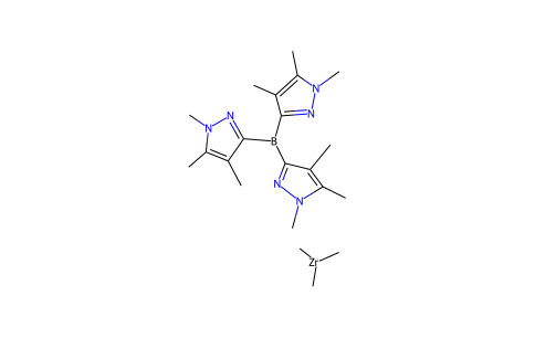 Cc1c(B(c2nn(C)c(C)c2C)c2nn(C)c(C)c2C)nn(C)c1C.[CH3][Zr]([CH3])[CH3]